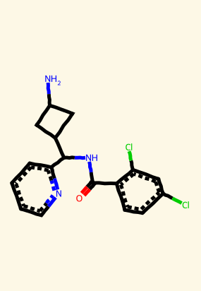 NC1CC(C(NC(=O)c2ccc(Cl)cc2Cl)c2ccccn2)C1